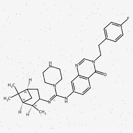 C[C@@H]1C(/N=C(/Nc2ccc3c(=O)n(CCc4ccc(F)cc4)cnc3c2)N2CCNCC2)C[C@H]2C[C@@H]1C2(C)C